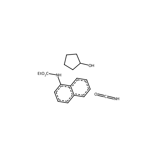 CCOC(=O)Nc1cccc2ccccc12.N=C=O.OC1CCCC1